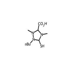 CCCCN1C(S)N(C)C(C(=O)O)N1C